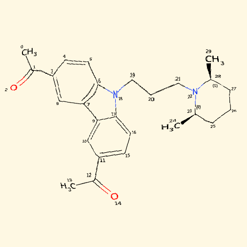 CC(=O)c1ccc2c(c1)c1cc(C(C)=O)ccc1n2CCCN1[C@H](C)CCC[C@@H]1C